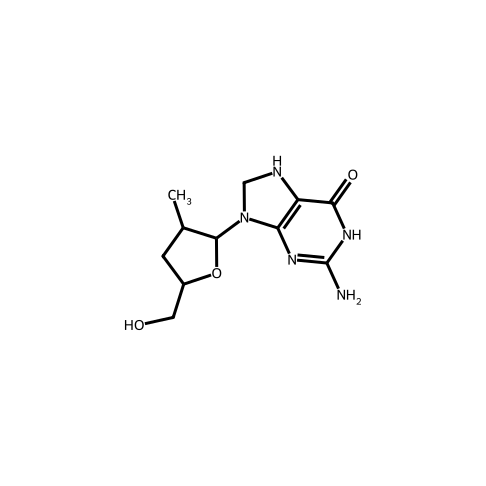 CC1CC(CO)OC1N1CNc2c1nc(N)[nH]c2=O